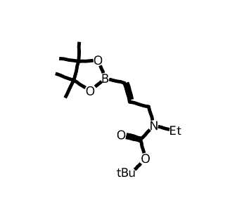 CCN(C/C=C/B1OC(C)(C)C(C)(C)O1)C(=O)OC(C)(C)C